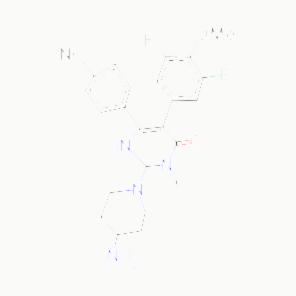 COc1c(F)cc(C2=C(c3ccc(C#N)cc3)NC(N3CCC(N)CC3)N(C)C2=O)cc1F